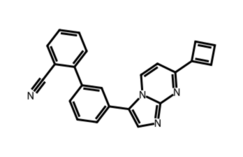 N#Cc1ccccc1-c1cccc(-c2cnc3nc(C4=CC=C4)ccn23)c1